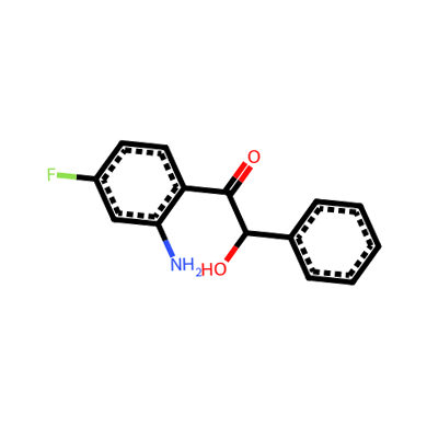 Nc1cc(F)ccc1C(=O)C(O)c1ccccc1